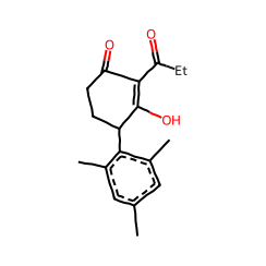 CCC(=O)C1=C(O)C(c2c(C)cc(C)cc2C)CCC1=O